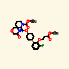 CC(C)(C)OC(=O)CCOc1c(F)cccc1[C@H]1CC[C@@H](OCC2N(C(=O)OC(C)(C)C)CCCC23COCC(=O)N3)CC1